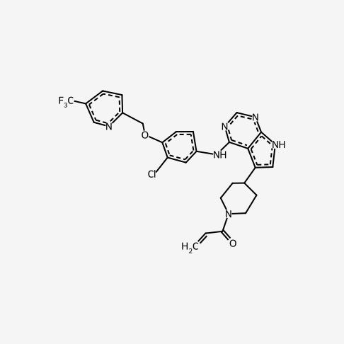 C=CC(=O)N1CCC(c2c[nH]c3ncnc(Nc4ccc(OCc5ccc(C(F)(F)F)cn5)c(Cl)c4)c23)CC1